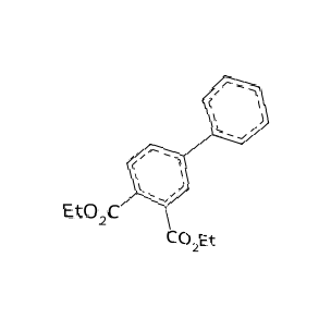 CCOC(=O)c1ccc(-c2ccccc2)cc1C(=O)OCC